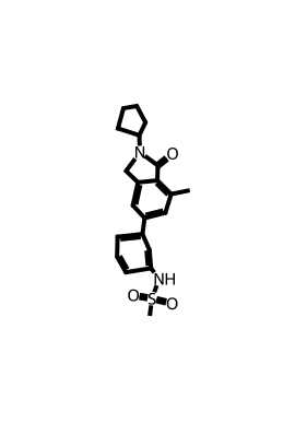 Cc1cc(-c2cccc(NS(C)(=O)=O)c2)cc2c1C(=O)N(C1CCCC1)C2